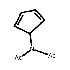 CC(=O)N(C(C)=O)C1C=CC=C1